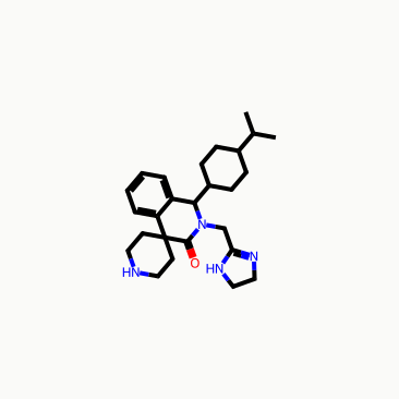 CC(C)C1CCC(C2c3ccccc3C3(CCNCC3)C(=O)N2CC2=NCCN2)CC1